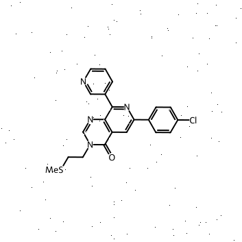 CSCCn1cnc2c(-c3cccnc3)nc(-c3ccc(Cl)cc3)cc2c1=O